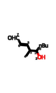 CCCCC(O)C(C)C=CC=O